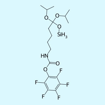 CC(C)OC(CCCCNC(=O)Oc1c(F)c(F)c(F)c(F)c1F)(O[SiH3])OC(C)C